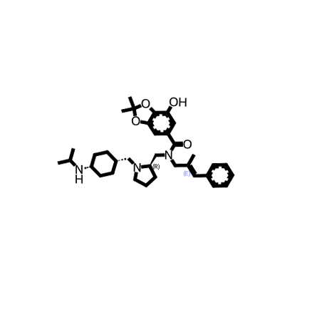 C/C(=C\c1ccccc1)CN(C[C@H]1CCCN1C[C@H]1CC[C@@H](NC(C)C)CC1)C(=O)c1cc(O)c2c(c1)OC(C)(C)O2